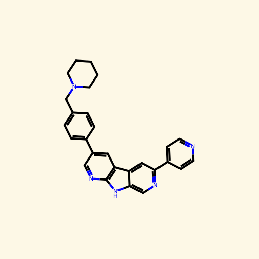 c1cc(-c2cc3c(cn2)[nH]c2ncc(-c4ccc(CN5CCCCC5)cc4)cc23)ccn1